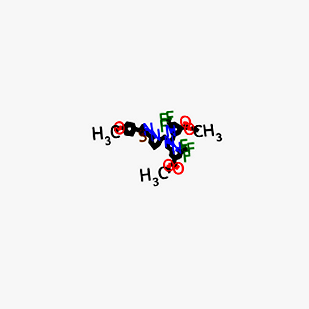 CCOC(=O)c1cc(CN(Cc2cccc(-c3ncc(-c4ccc(OC)cc4)s3)n2)Cc2cc(C(=O)OCC)cc(C(F)(F)F)n2)nc(C(F)(F)F)c1